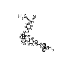 CC#C[C@@H](CC#N)c1ccc(OCc2ccc3scc(-c4ccc(OCCCS(C)(=O)=O)cc4C)c3c2)cc1